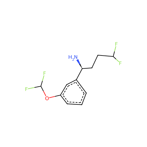 N[C@@H](CCC(F)F)c1cccc(OC(F)F)c1